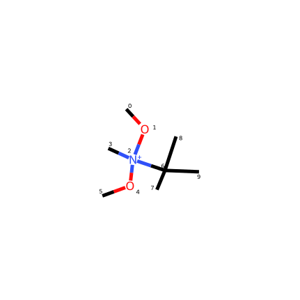 CO[N+](C)(OC)C(C)(C)C